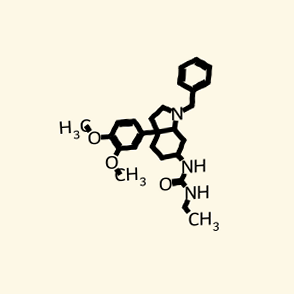 CCNC(=O)NC1CCC2(c3ccc(OC)c(OC)c3)CCN(Cc3ccccc3)C2C1